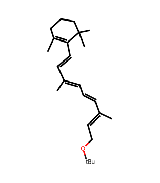 CC(C=CC1=C(C)CCCC1(C)C)=CC=CC(C)=CCOC(C)(C)C